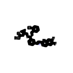 O=C(O)CC1(CS[C@H](CCc2ccccc2Cl)c2cccc(/C=C/c3ccc4cc(F)c(F)cc4n3)c2)CC1